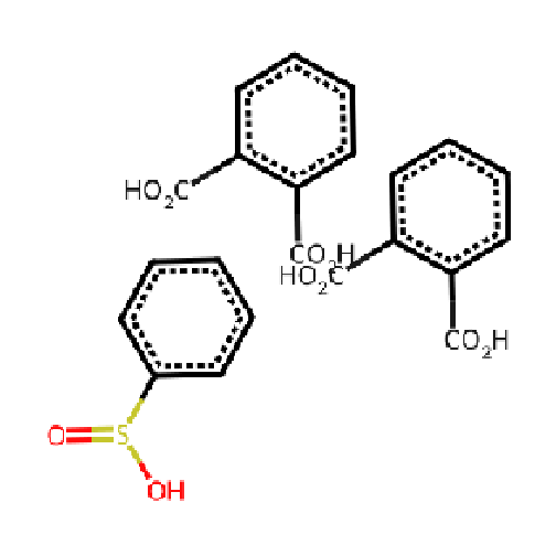 O=C(O)c1ccccc1C(=O)O.O=C(O)c1ccccc1C(=O)O.O=S(O)c1ccccc1